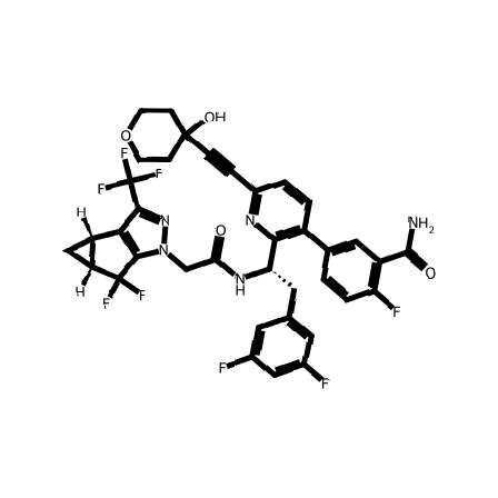 NC(=O)c1cc(-c2ccc(C#CC3(O)CCOCC3)nc2[C@H](Cc2cc(F)cc(F)c2)NC(=O)Cn2nc(C(F)(F)F)c3c2C(F)(F)[C@@H]2C[C@H]32)ccc1F